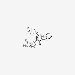 O=C(NC(CC1CCCCC1)C(=O)NC(CO)C[C@@H]1CCNC1=O)OC1CCC(F)(F)CC1